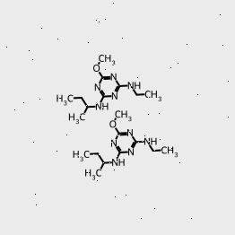 CCNc1nc(NC(C)CC)nc(OC)n1.CCNc1nc(NC(C)CC)nc(OC)n1